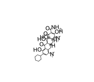 CN(C)c1cc(C2CCCCC2)c(O)c2c1C[C@H]1C[C@H]3[C@H](N(C)C)C(O)=C(C(N)=O)C(=O)[C@@]3(O)C(O)=C1C2=O